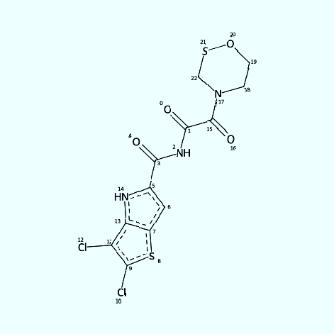 O=C(NC(=O)c1cc2sc(Cl)c(Cl)c2[nH]1)C(=O)N1CCOSC1